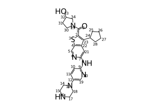 O=C(c1sc2cnc(Nc3ccc(N4CCNCC4)cn3)cc2c1C1CCCC1)N1CCC(O)C1